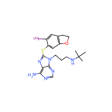 CC(C)(C)NCCCn1c(Sc2cc3c(cc2[131I])CCO3)nc2c(N)ncnc21